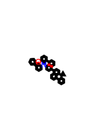 c1ccc(-c2ccccc2N(c2ccc(-c3ccc4c5c(cccc35)-c3ccccc3C43CC3)cc2)c2cccc3c2oc2ccccc23)cc1